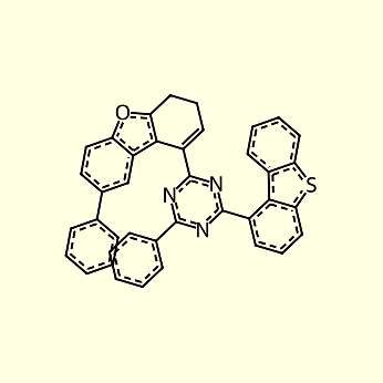 C1=C(c2nc(-c3ccccc3)nc(-c3cccc4sc5ccccc5c34)n2)c2c(oc3ccc(-c4ccccc4)cc23)CC1